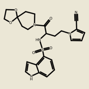 N#Cc1cccn1CCC(NS(=O)(=O)c1cccc2[nH]ccc12)C(=O)N1CCC2(CC1)OCCO2